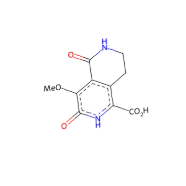 COc1c2c(c(C(=O)O)[nH]c1=O)CCNC2=O